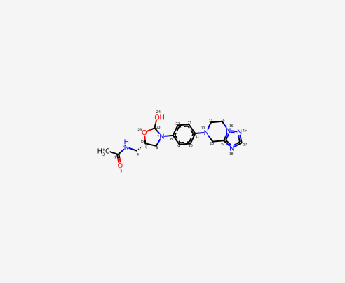 CC(=O)NC[C@H]1CN(c2ccc(N3CCn4ncnc4C3)cc2)C(O)O1